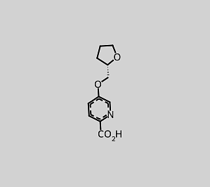 O=C(O)c1ccc(OC[C@@H]2CCCO2)cn1